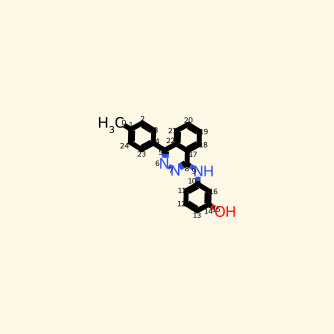 Cc1ccc(-c2nnc(Nc3cccc(O)c3)c3ccccc23)cc1